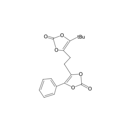 CC(C)(C)c1oc(=O)oc1CCc1oc(=O)oc1-c1ccccc1